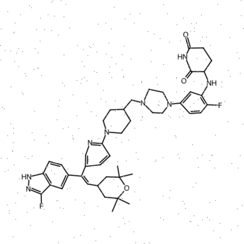 CC1(C)CC(C=C(c2ccc(N3CCC(CN4CCN(c5ccc(F)c(NC6CCC(=O)NC6=O)c5)CC4)CC3)nc2)c2ccc3[nH]nc(F)c3c2)CC(C)(C)O1